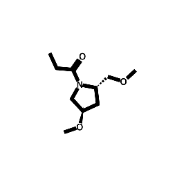 CCC(=O)N1C[C@H](OC)C[C@H]1COC